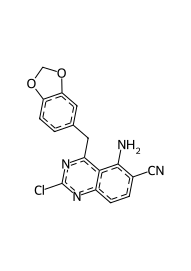 N#Cc1ccc2nc(Cl)nc(Cc3ccc4c(c3)OCO4)c2c1N